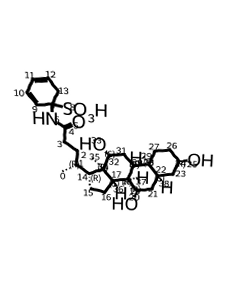 C[C@H](CCC(=O)NC1(S(=O)(=O)O)C=CC=CC1)[C@H]1CC[C@H]2[C@@H]3[C@H](O)C[C@@H]4C[C@H](O)CC[C@]4(C)[C@H]3C[C@H](O)[C@]12C